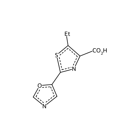 CCc1sc(-c2cnco2)nc1C(=O)O